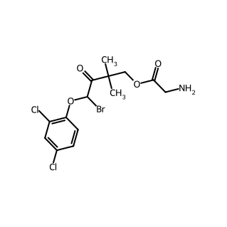 CC(C)(COC(=O)CN)C(=O)C(Br)Oc1ccc(Cl)cc1Cl